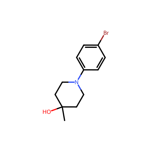 CC1(O)CCN(c2ccc(Br)cc2)CC1